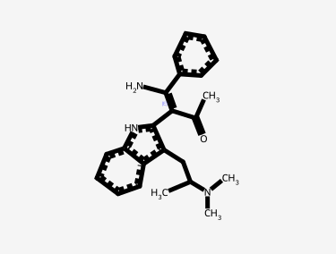 CC(=O)/C(=C(/N)c1ccccc1)c1[nH]c2ccccc2c1CC(C)N(C)C